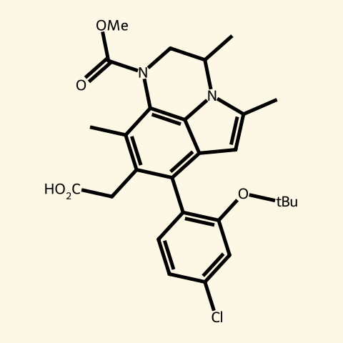 COC(=O)N1CC(C)n2c(C)cc3c(-c4ccc(Cl)cc4OC(C)(C)C)c(CC(=O)O)c(C)c1c32